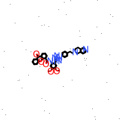 COc1cc(NC(=O)c2cccc3c(=O)c4ccccc4oc23)c(-c2nnn(-c3ccc(CCN4CCc5cnccc5C4)cc3)n2)cc1OC